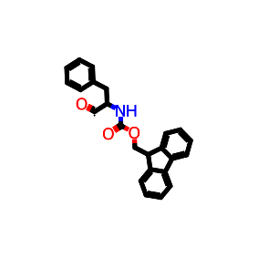 O=[C]C(Cc1ccccc1)NC(=O)OCC1c2ccccc2-c2ccccc21